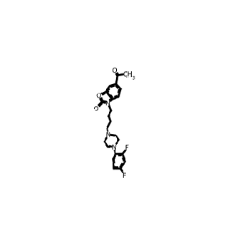 CC(=O)c1ccc2c(c1)oc(=O)n2CCCCN1CCN(c2ccc(F)cc2F)CC1